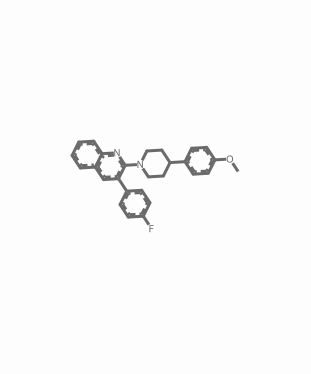 COc1ccc(C2CCN(c3nc4ccccc4cc3-c3ccc(F)cc3)CC2)cc1